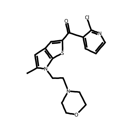 Cc1cc2cc(C(=O)c3cccnc3Cl)sc2n1CCN1CCOCC1